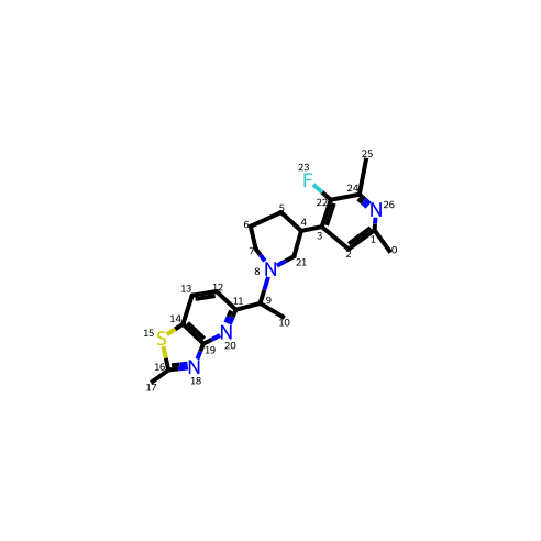 Cc1cc(C2CCCN(C(C)c3ccc4sc(C)nc4n3)C2)c(F)c(C)n1